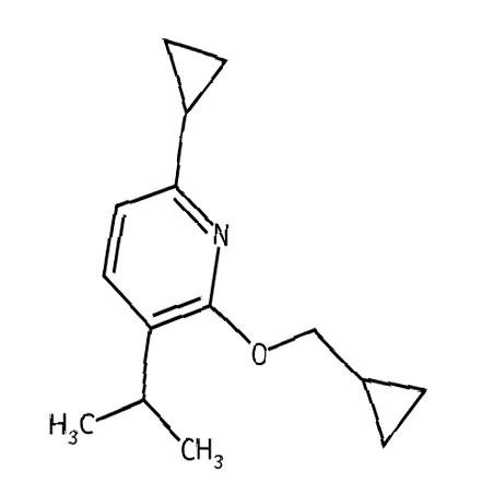 CC(C)c1ccc(C2CC2)nc1OCC1CC1